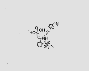 CCC(C)S(=O)(=O)Nc1ccccc1C(=O)NCCSCc1ccc(CN(C)C)o1.O=C(O)C(=O)O